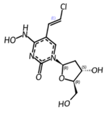 O=c1nc(NO)c(/C=C/Cl)cn1[C@H]1C[C@H](O)[C@@H](CO)O1